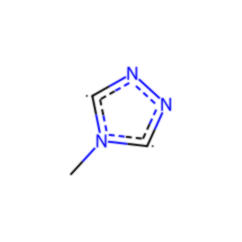 Cn1[c]nn[c]1